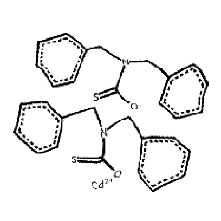 [Cd+2].[O-]C(=S)N(Cc1ccccc1)Cc1ccccc1.[O-]C(=S)N(Cc1ccccc1)Cc1ccccc1